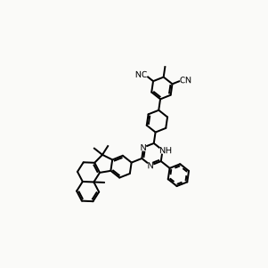 CC1C(C#N)=CC(C2C=CC(C3N=C(C4C=C5C(=CC4)C4=C(CCC6C=CC=CC46C)C5(C)C)N=C(c4ccccc4)N3)CC2)=CC1C#N